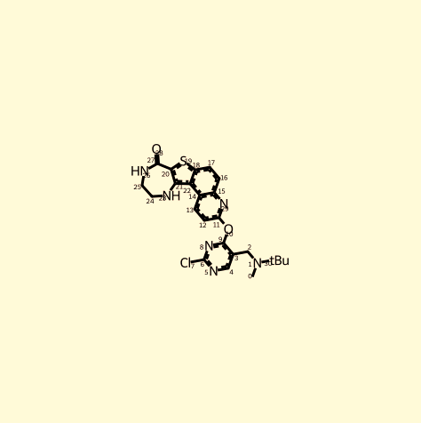 CN(Cc1cnc(Cl)nc1Oc1ccc2c(ccc3sc4c(c32)NCCNC4=O)n1)C(C)(C)C